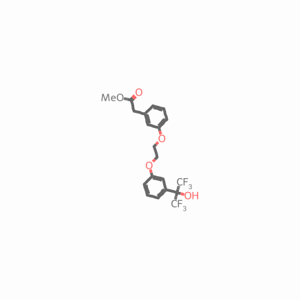 COC(=O)Cc1cccc(OCCOc2cccc(C(O)(C(F)(F)F)C(F)(F)F)c2)c1